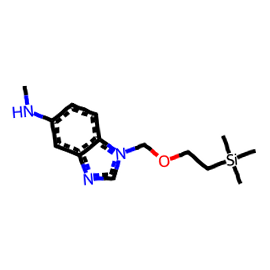 CNc1ccc2c(c1)ncn2COCC[Si](C)(C)C